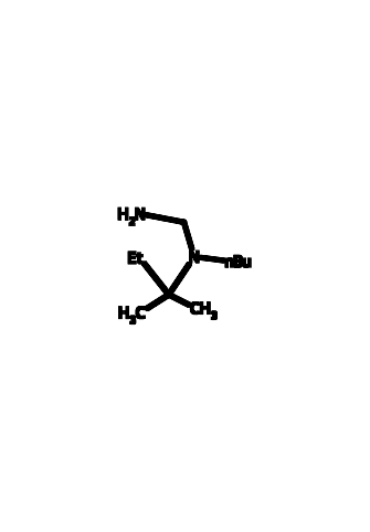 CCCCN(CN)C(C)(C)CC